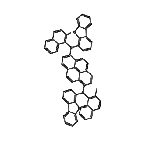 Cc1ccc2ccccc2c1N(c1ccc2ccc3c(N(c4c(C)ccc5ccccc45)c4cccc5c4oc4ccccc45)ccc4ccc1c2c43)c1cccc2c1oc1ccccc12